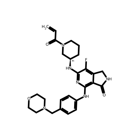 C=CC(=O)N1CCC[C@@H](Nc2nc(Nc3ccc(CN4CCOCC4)cc3)c3c(c2F)CNC3=O)C1